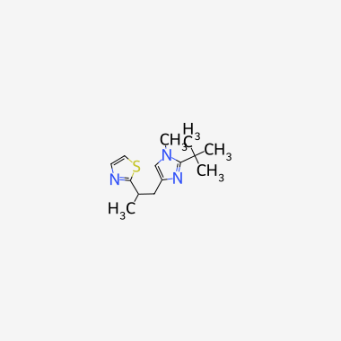 CC(Cc1cn(C)c(C(C)(C)C)n1)c1nccs1